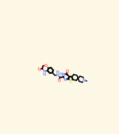 CN1CCC2(CCc3c(sc4nc(C(=O)NCc5ccc6c(c5)NC(=O)CO6)[nH]c(=O)c34)C2)CC1